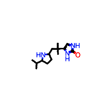 CC(C)C1CCC(CC(C)(C)c2c[nH]c(=O)[nH]2)N1